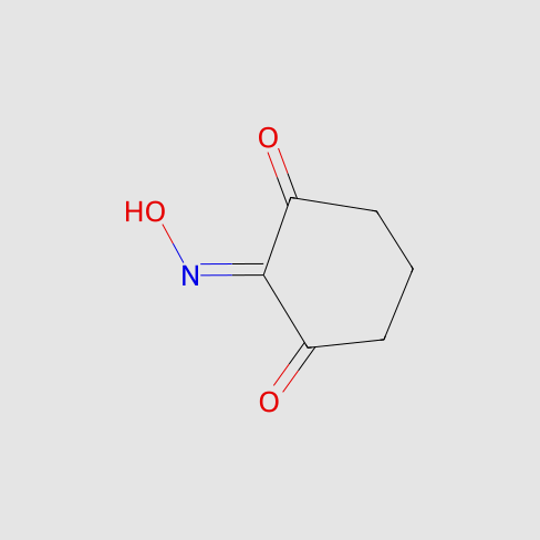 O=C1CCCC(=O)C1=NO